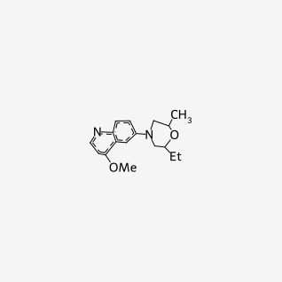 CCC1CN(c2ccc3nccc(OC)c3c2)CC(C)O1